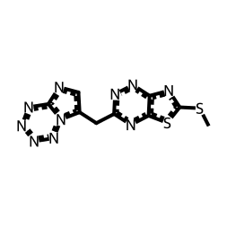 CSc1nc2nnc(Cc3cnc4nnnnn34)nc2s1